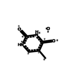 Cc1c[nH]c(=O)[nH]c1=O.[O]